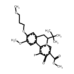 COCCCOc1cc2c(cc1OC)-c1c(F)c(=O)c(C(=O)OC)cn1C(C(C)(C)C)C2